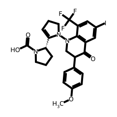 COc1ccc(C2CN(N3CCC=C3[C@@H]3CCCN3C(=O)O)c3c(cc(I)cc3C(F)(F)F)C2=O)cc1